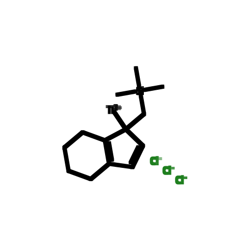 C[Si](C)(C)C[C]1([Ti+3])C=CC2=C1CCCC2.[Cl-].[Cl-].[Cl-]